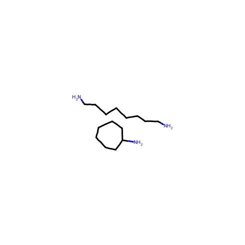 NC1CCCCCC1.NCCCCCCCCN